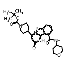 CC(C)(C)OC(=O)N1CCC(c2cc(=O)[nH]c3c4c(C(=O)NC5CCOCC5)cccc4nn23)CC1